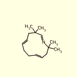 CC1(C)/C=N/C(C)(C)C/C=C/CC/C=C/C1